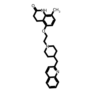 Cc1ccc(OCCN2CCC(Cc3ccc4ccccc4n3)CC2)c2c1NC(=O)CC2